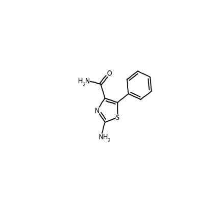 NC(=O)c1nc(N)sc1-c1ccccc1